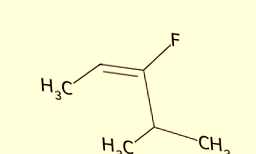 C/C=C(/F)C(C)C